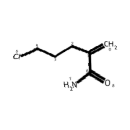 C=C(CCCCl)C(N)=O